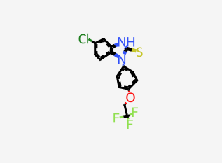 FC(F)(F)COc1ccc(-n2c(=S)[nH]c3cc(Cl)ccc32)cc1